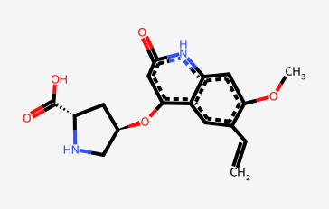 C=Cc1cc2c(O[C@H]3CN[C@H](C(=O)O)C3)cc(=O)[nH]c2cc1OC